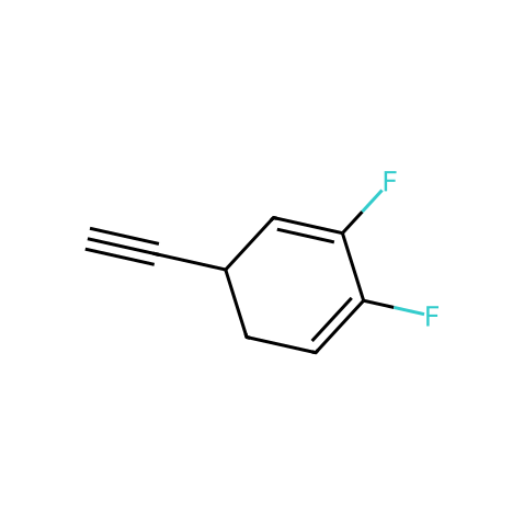 C#CC1C=C(F)C(F)=CC1